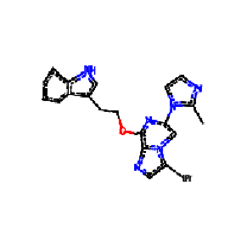 Cc1nccn1-c1cn2c(C(C)C)cnc2c(OCCc2c[nH]c3ccccc23)n1